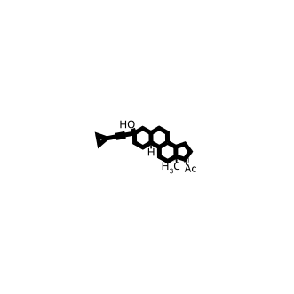 CC(=O)[C@H]1CCC2C3CCC4CC(O)(C#CC5CC5)CC[C@@H]4C3CC[C@@]21C